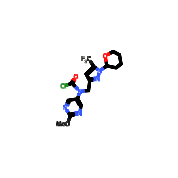 COc1ncc(N(Cc2cc(C(F)(F)F)n(C3CCCCO3)n2)C(=O)Cl)cn1